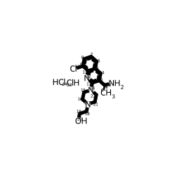 C[C@H](N)c1cc2cccc(Cl)c2nc1N1CCN(CCO)CC1.Cl.Cl